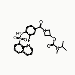 CC(C)N(C)C(=O)OC1CN(C(=O)c2ccc(NS(=O)(=O)c3cccc4cccnc34)c(F)c2)C1